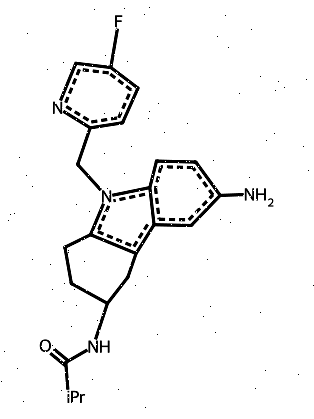 CC(C)C(=O)NC1CCc2c(c3cc(N)ccc3n2Cc2ccc(F)cn2)C1